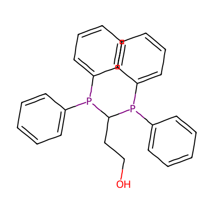 OCCC(P(c1ccccc1)c1ccccc1)P(c1ccccc1)c1ccccc1